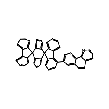 c1ccc2c(c1)-c1ccccc1C21c2ccccc2C2(c3ccccc3-c3c(-c4cnc5c(ccc6cccnc65)c4)cccc32)c2ccccc21